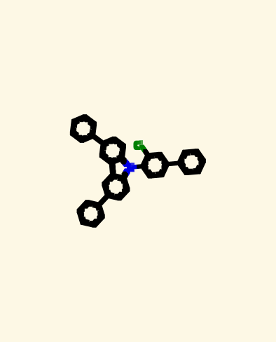 Clc1cc(-c2ccccc2)ccc1-n1c2ccc(-c3ccccc3)cc2c2cc(-c3ccccc3)ccc21